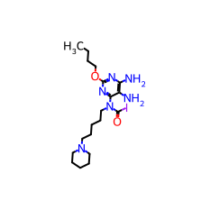 CCCCOc1nc(N)c(N)c(N(CCCCCN2CCCCC2)C(=O)I)n1